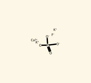 O=P([O-])([O-])[O-].[Ca+2].[F-].[K+].[K+]